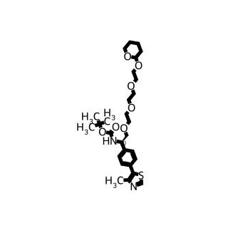 Cc1ncsc1-c1ccc([C@H](COCCOCCOCCOC2CCCCO2)NC(=O)OC(C)(C)C)cc1